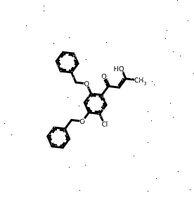 CC(O)=CC(=O)c1cc(Cl)c(OCc2ccccc2)cc1OCc1ccccc1